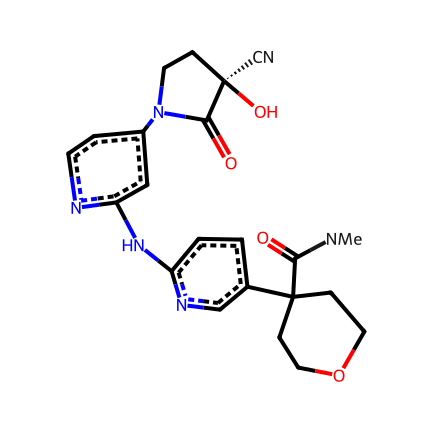 CNC(=O)C1(c2ccc(Nc3cc(N4CC[C@](O)(C#N)C4=O)ccn3)nc2)CCOCC1